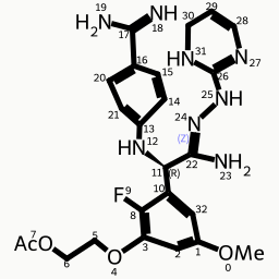 COc1cc(OCCOC(C)=O)c(F)c([C@@H](Nc2ccc(C(=N)N)cc2)/C(N)=N/NC2=NC=CCN2)c1